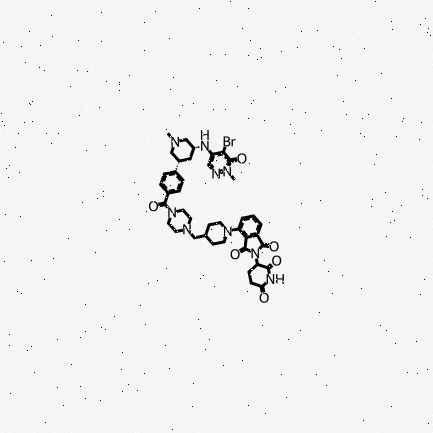 CN1C[C@H](Nc2cnn(C)c(=O)c2Br)C[C@H](c2ccc(C(=O)N3CCN(CC4CCN(c5cccc6c5C(=O)N(C5CCC(=O)NC5=O)C6=O)CC4)CC3)cc2)C1